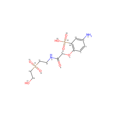 Nc1ccc(OCC(=O)NCCS(=O)(=O)CCO)c(S(=O)(=O)O)c1